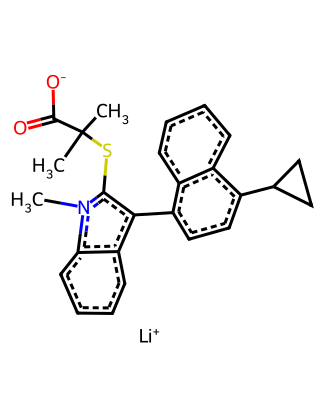 Cn1c(SC(C)(C)C(=O)[O-])c(-c2ccc(C3CC3)c3ccccc23)c2ccccc21.[Li+]